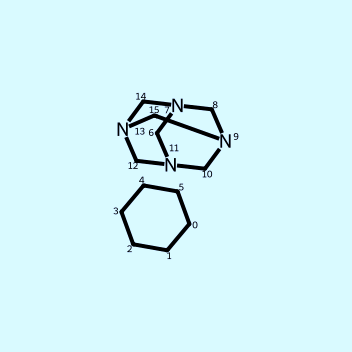 C1CCCCC1.C1N2CN3CN1CN(C2)C3